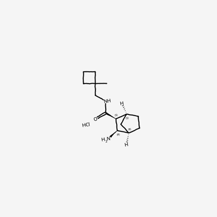 CC1(CNC(=O)[C@H]2[C@H]3CC[C@H](C3)[C@H]2N)CCC1.Cl